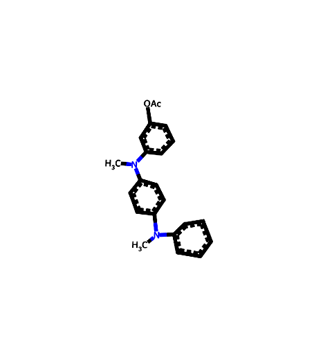 CC(=O)Oc1cccc(N(C)c2ccc(N(C)c3ccccc3)cc2)c1